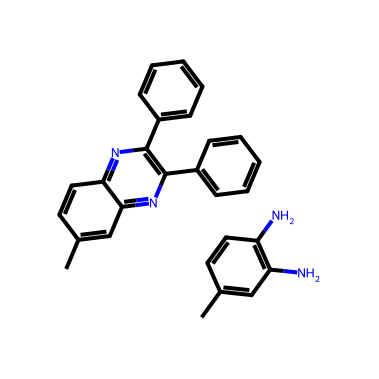 Cc1ccc(N)c(N)c1.Cc1ccc2nc(-c3ccccc3)c(-c3ccccc3)nc2c1